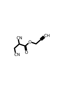 C#CCOC(=O)C(C#N)CC#N